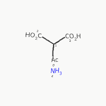 CC(=O)C(C(=O)O)C(=O)O.N